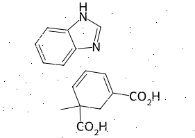 CC1(C(=O)O)C=CC=C(C(=O)O)C1.c1ccc2[nH]cnc2c1